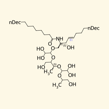 CCCCCCCCCCCCC/C=C/[C@H](O)[C@@H](COC(OC(CO)[C@H](C)OC(OC(C)CO)C(O)O)C(O)O)NC(=O)CCCCCCCCCCCCCCCCC